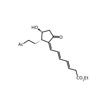 CCOC(=O)CC=CC=CC=C1C(=O)C[C@H](O)[C@H]1CCC(C)=O